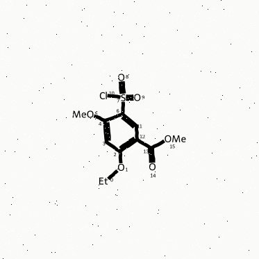 CCOc1cc(OC)c(S(=O)(=O)Cl)cc1C(=O)OC